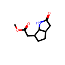 COC(=O)CC1CCC2CC(=O)NC21